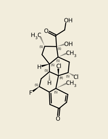 C[C@H]1C[C@H]2[C@@H]3C[C@H](F)C4=CC(=O)C=C[C@]4(C)[C@@]3(Cl)[C@@H](Cl)C[C@]2(C)[C@]1(O)C(=O)CO